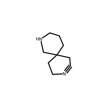 C1#[N+]CCC2(C1)CCCNC2